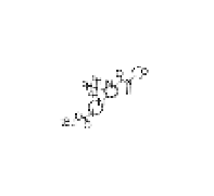 [2H]C([2H])([2H])c1nc(C(=O)N[C@@H]2CCOC2)ccc1N1CCN(C(=O)OC(C)(C)C)CC1